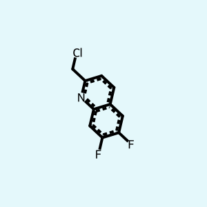 Fc1cc2ccc(CCl)nc2cc1F